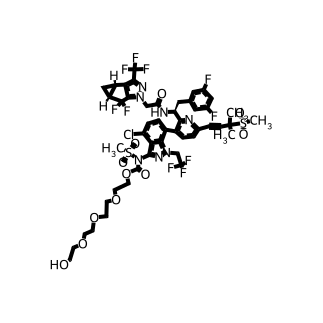 CC(C)(C#Cc1ccc(-c2ccc(Cl)c3c(N(C(=O)OCCOCCOCCOCCO)S(C)(=O)=O)nn(CC(F)(F)F)c23)c([C@H](Cc2cc(F)cc(F)c2)NC(=O)Cn2nc(C(F)(F)F)c3c2C(F)(F)[C@@H]2C[C@H]32)n1)S(C)(=O)=O